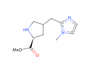 COC(=O)[C@@H]1CC(Cc2nccn2C)CN1